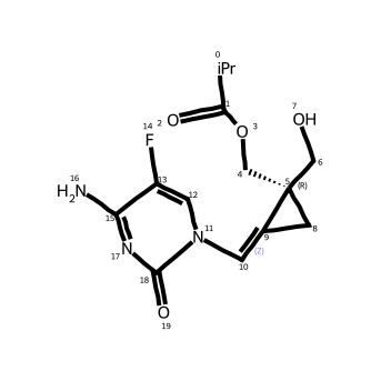 CC(C)C(=O)OC[C@]1(CO)C/C1=C/n1cc(F)c(N)nc1=O